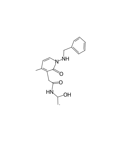 [CH2]C(O)NC(=O)Cc1c(C)ccn(NCc2ccccc2)c1=O